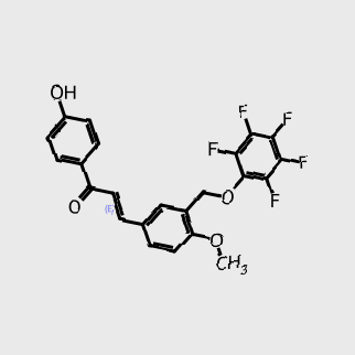 COc1ccc(/C=C/C(=O)c2ccc(O)cc2)cc1COc1c(F)c(F)c(F)c(F)c1F